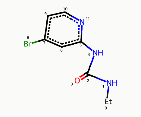 CCNC(=O)Nc1cc(Br)ccn1